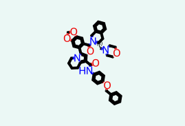 O=C(Nc1ccc(OCc2ccccc2)cc1)c1cc(-c2cc3c(cc2C(=O)N2Cc4ccccc4C[C@@H]2CN2CCOCC2)OCO3)n2c1CCCC2